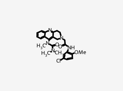 COc1ccc(Cl)cc1NC(=O)CN1CCc2nc3ccccc3c(N(C)C(=O)N(C)C)c2C1